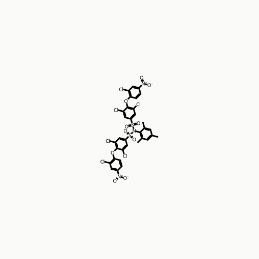 Cc1cc(C)c(N(S(=O)(=O)c2cc(Cl)c(Oc3ccc([N+](=O)[O-])cc3Cl)c(Cl)c2)S(=O)(=O)c2cc(Cl)c(Oc3ccc([N+](=O)[O-])cc3Cl)c(Cl)c2)c(C)c1